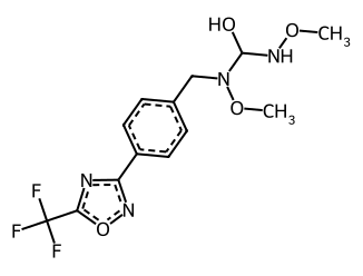 CONC(O)N(Cc1ccc(-c2noc(C(F)(F)F)n2)cc1)OC